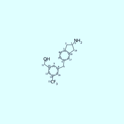 NC1Cc2ccc(Cc3cc(CO)cc(C(F)(F)F)c3)cc2C1